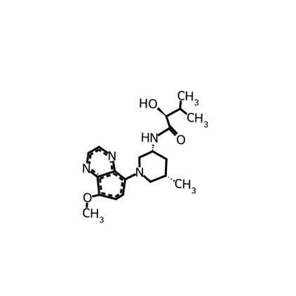 COc1ccc(N2C[C@@H](C)C[C@@H](NC(=O)[C@@H](O)C(C)C)C2)c2nccnc12